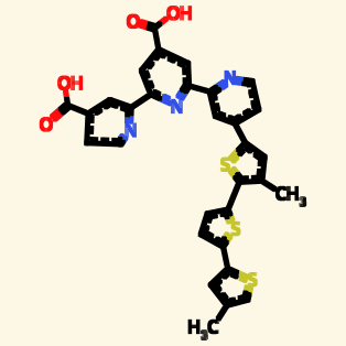 Cc1csc(-c2ccc(-c3sc(-c4ccnc(-c5cc(C(=O)O)cc(-c6cc(C(=O)O)ccn6)n5)c4)cc3C)s2)c1